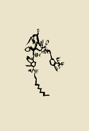 CCCCCCCCCCNC(=O)c1ccc2c(c1C)CC[C@@H]2NC(=O)c1cc(C(=O)NCc2ccc(F)c(C(F)(F)F)c2)nc2c(F)cnn12